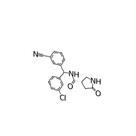 N#Cc1cccc(C(NC(=O)[C@@H]2CNC(=O)C2)c2cccc(Cl)c2)c1